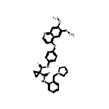 COc1cc2nccc(Oc3ccc(NC(=O)C4(C(=O)Nc5ccccc5CN5CCCC5)CC4)cc3)c2cc1OC